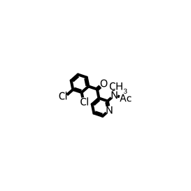 CC(=O)N(C)c1ncccc1C(=O)c1cccc(Cl)c1Cl